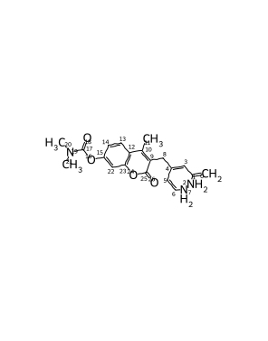 C=C(N)/C=C(\C=C/N)Cc1c(C)c2ccc(OC(=O)N(C)C)cc2oc1=O